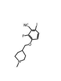 CN1CCC(COc2ccc(I)c(C#N)c2F)CC1